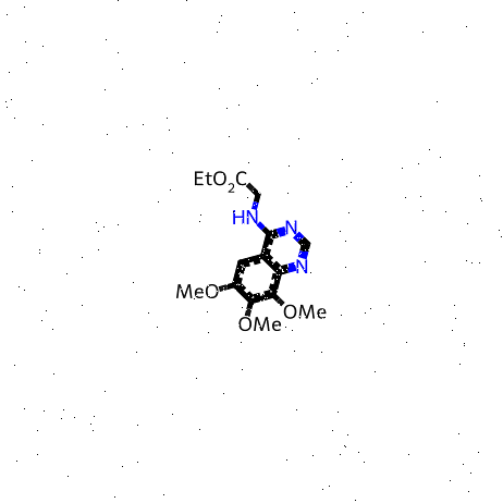 CCOC(=O)CNc1ncnc2c(OC)c(OC)c(OC)cc12